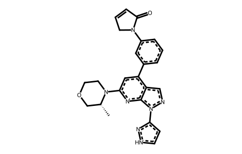 C[C@@H]1COCCN1c1cc(-c2cccc(N3CC=CC3=O)c2)c2cnn(-c3cc[nH]n3)c2n1